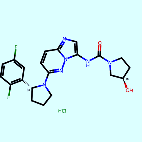 Cl.O=C(Nc1cnc2ccc(N3CCC[C@@H]3c3cc(F)ccc3F)nn12)N1CC[C@@H](O)C1